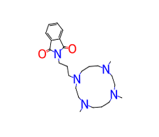 CN1CCCN(C)CCN(CCCN2C(=O)c3ccccc3C2=O)CCCN(C)CC1